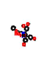 COc1ccc(C(O)(CC(NC[C@H](O)COc2ccccc2)c2ccc(OC)c(OC)c2)c2ccc(OC)cc2)cc1